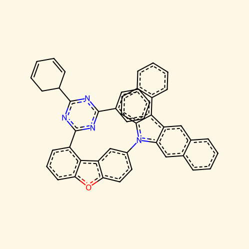 C1=CCC(c2nc(-c3ccccc3)nc(-c3cccc4oc5ccc(-n6c7cc8ccccc8cc7c7c8ccccc8ccc76)cc5c34)n2)C=C1